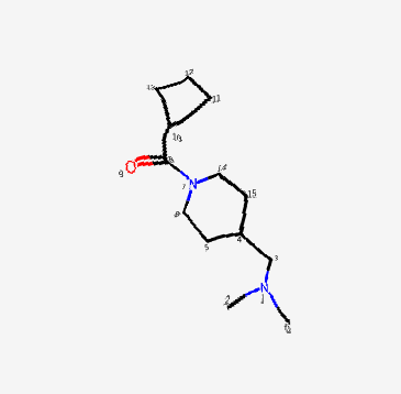 CN(C)CC1CCN(C(=O)C2CCC2)CC1